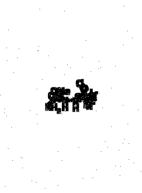 COC(=O)c1ccc(NCCCNC(=O)C[C@@H]2N=C(c3ccc(Cl)cc3)c3c(sc(C)c3C)-n3c(C)nnc32)cc1C#CCN